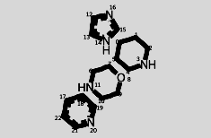 C1CCNCC1.C1COCCN1.c1c[nH]cn1.c1ccncc1